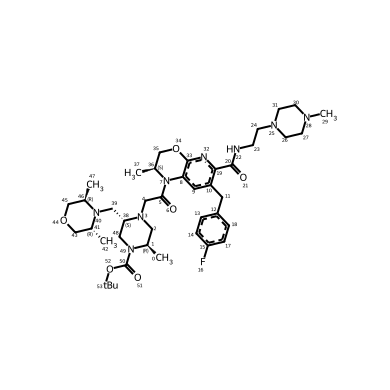 C[C@@H]1CN(CC(=O)N2c3cc(Cc4ccc(F)cc4)c(C(=O)NCCN4CCN(C)CC4)nc3OC[C@@H]2C)[C@@H](CN2[C@H](C)COC[C@H]2C)CN1C(=O)OC(C)(C)C